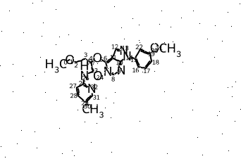 COCC[C@@H](Oc1ncnc2c1cnn2-c1cccc(OC)c1)C(=O)Nc1ccc(C)cn1